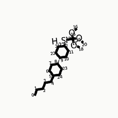 CCCCCC1CCC([C@H]2CC[C@H]([SiH2]C(OC)(OC)OC)CC2)CC1